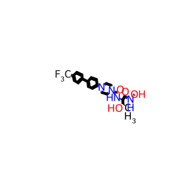 C[C@H](O)[C@@H](NC(=O)N1CCN(c2ccc(-c3ccc(C(F)(F)F)cc3)cc2)CC1)C(=O)NO